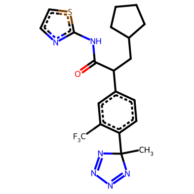 CC1(c2ccc(C(CC3CCCC3)C(=O)Nc3nccs3)cc2C(F)(F)F)N=NN=N1